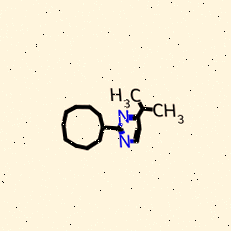 CC(C)c1ccnc(C2CCCCCCCCC2)n1